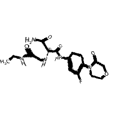 CCNC(=O)N[C@H](C(N)=O)C(=O)Nc1ccc(N2CCOCC2=O)c(F)c1